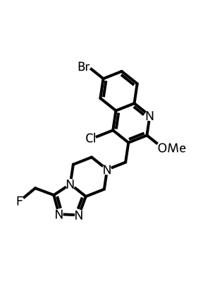 COc1nc2ccc(Br)cc2c(Cl)c1CN1CCn2c(CF)nnc2C1